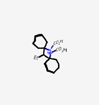 CCC(C1(NC(=O)O)CCCCC1)C1(NC(=O)O)CCCCC1